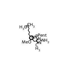 CCCCCNc1nc(N)nc(C)c1Cc1ccc(CCCCN(C)C)cc1OC